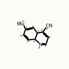 CC(C)(C)C1=CC2C(C#N)=CC=NC2C=C1